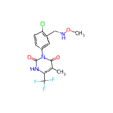 CONCc1cc(-n2c(=O)[nH]c(C(F)(F)F)c(C)c2=O)ccc1Cl